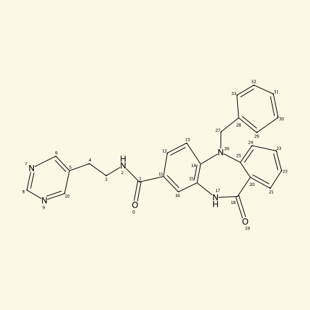 O=C(NCCc1cncnc1)c1ccc2c(c1)NC(=O)c1ccccc1N2Cc1ccccc1